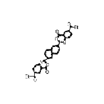 CCC(=O)c1ccc2nc(-c3ccc4cc(-c5nc6ccc(C(=O)CC)cc6c(=O)o5)ccc4c3)oc(=O)c2c1